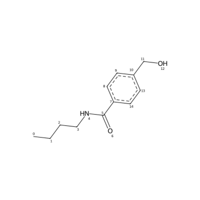 CCCCNC(=O)c1ccc(CO)cc1